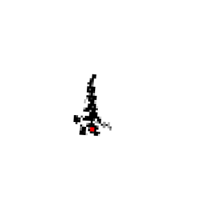 C=C(C)C(=O)OCCCc1cc(-c2ccc(-c3ccc(C4CCC(CCCCC)CC4)cc3F)cc2CC)cc(CCCN)c1OCC(CN)(COC(=O)C(=C)C)COC(=O)C(=C)C